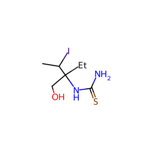 CCC(CO)(NC(N)=S)C(C)I